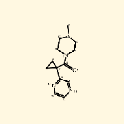 CN1CCN(C(=O)C2(c3cnccn3)CC2)CC1